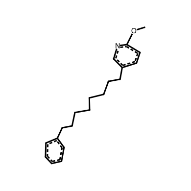 COc1ccc(CCCCCCCCc2ccccc2)cn1